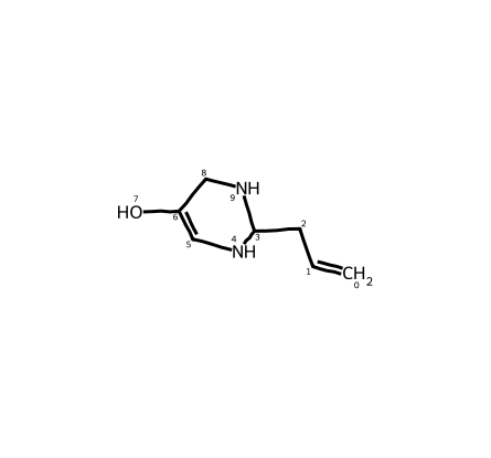 C=CCC1NC=C(O)CN1